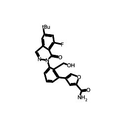 CC(C)(C)c1cc(F)c2c(=O)n(-c3cccc(-c4coc(C(N)=O)c4)c3CO)ncc2c1